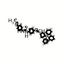 C1CCC([PH](C2CCCCC2)(C2CCCCC2)C2CCCCC2)CC1.CCOc1ccc(NC(=S)Nc2ccc(OCC)cc2)cc1